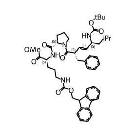 COC(=O)[C@H](CCCNC(=O)OCC1c2ccccc2-c2ccccc21)NC(=O)[C@@H]1CCCN1C(=O)[C@H](/C=C/[C@H](CC(C)C)NC(=O)OC(C)(C)C)Cc1ccccc1